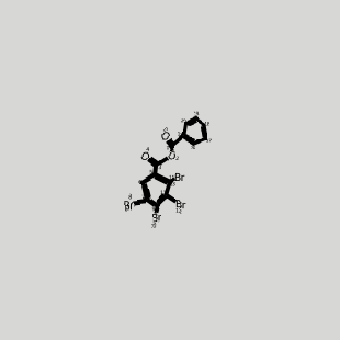 O=C(OC(=O)c1cc(Br)c(Br)c(Br)c1Br)c1ccccc1